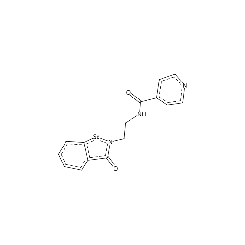 O=C(NCCn1[se]c2ccccc2c1=O)c1ccncc1